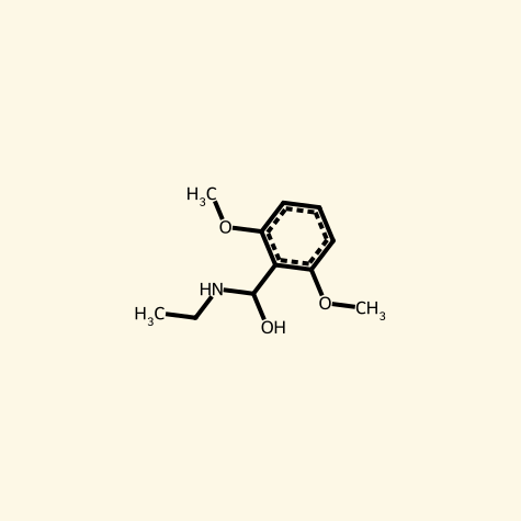 CCNC(O)c1c(OC)cccc1OC